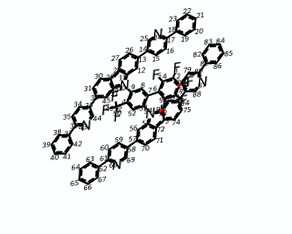 Fc1c(F)c(F)c(-c2cc(-n3c4cc(-c5ccc(-c6ccccc6)nc5)ccc4c4ccc(-c5ccc(-c6ccccc6)nc5)cc43)c(C(F)(F)F)cc2-n2c3cc(-c4ccc(-c5ccccc5)nc4)ccc3c3ccc(-c4ccc(-c5ccccc5)nc4)cc32)c(F)c1F